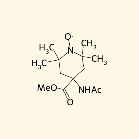 COC(=O)C1(NC(C)=O)CC(C)(C)N([O])C(C)(C)C1